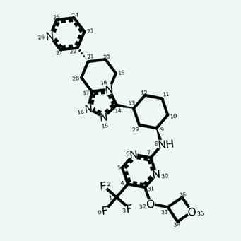 FC(F)(F)c1cnc(N[C@@H]2CCC[C@H](c3nnc4n3CC[C@@H](c3cccnc3)C4)C2)nc1OC1COC1